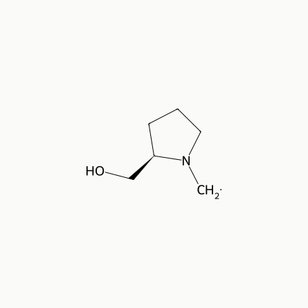 [CH2]N1CCC[C@@H]1CO